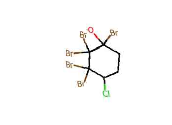 [O]C1(Br)CCC(Cl)C(Br)(Br)C1(Br)Br